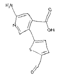 Nc1cc(C(=O)O)c(-c2ccc(C=O)s2)cn1